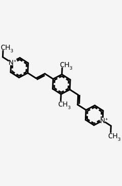 CC[n+]1ccc(/C=C/c2cc(C)c(/C=C/c3cc[n+](CC)cc3)cc2C)cc1